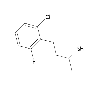 CC(S)CCc1c(F)cccc1Cl